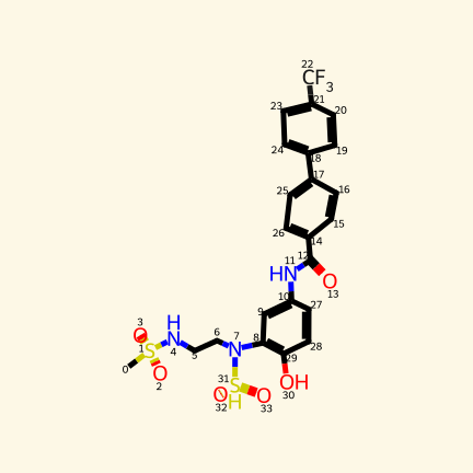 CS(=O)(=O)NCCN(c1cc(NC(=O)c2ccc(-c3ccc(C(F)(F)F)cc3)cc2)ccc1O)[SH](=O)=O